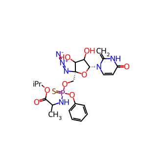 C=C1NC(=O)C=CN1[C@@H]1O[C@@](COP(=S)(NC(C)C(=O)OC(C)C)Oc2ccccc2)(N=[N+]=[N-])C(O)C1O